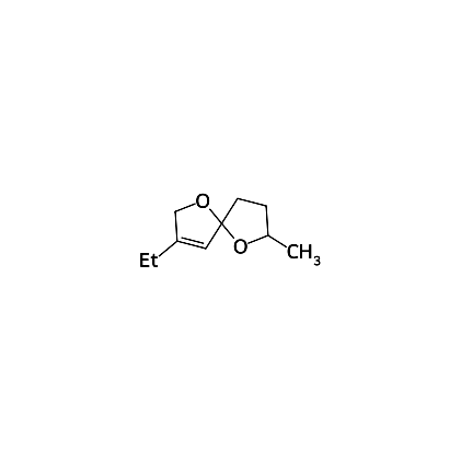 CCC1=CC2(CCC(C)O2)OC1